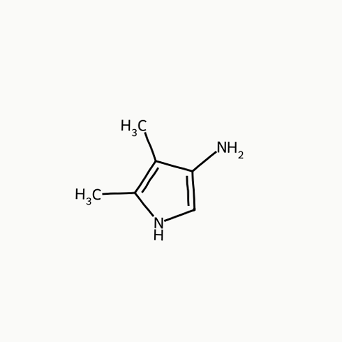 Cc1[nH]cc(N)c1C